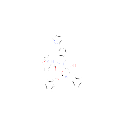 COC(=O)N[C@@H](C(=O)NN(Cc1ccc(-c2ccccn2)cc1)C[C@H](O)[C@H](Cc1ccccc1)NC(=O)OCc1ccccc1)C(C)(C)C